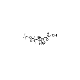 CC(/C=C(\N)CN1C=C(CC(=O)NCCO)C2C=CNN21)=C(/N)OCCC(C)(F)F